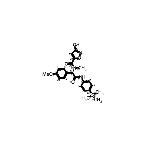 COc1ccc([C@H](C(=O)Nc2ccc(S(C)(C)C)cc2)N(C)C(=O)c2cc(O)no2)cc1